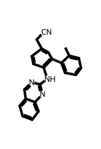 Cc1ccccc1-c1cc(CC#N)ccc1Nc1ncc2ccccc2n1